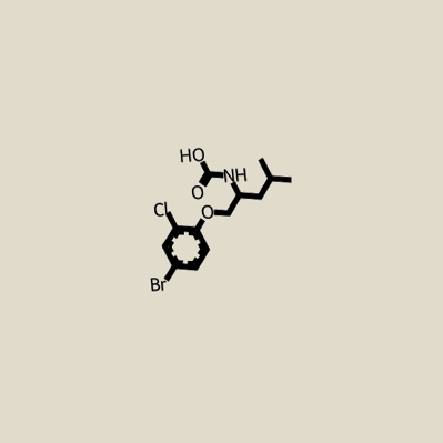 CC(C)CC(COc1ccc(Br)cc1Cl)NC(=O)O